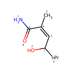 CCCC(O)C=C(C)C(N)=O